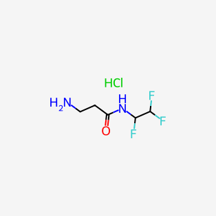 Cl.NCCC(=O)NC(F)C(F)F